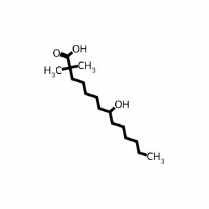 CCCCCCC(O)CCCCCC(C)(C)C(=O)O